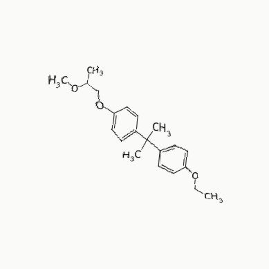 CCOc1ccc(C(C)(C)c2ccc(OCC(C)OC)cc2)cc1